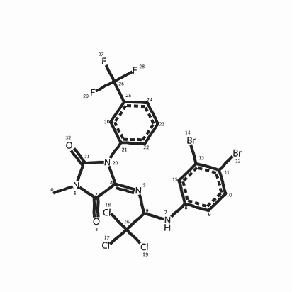 CN1C(=O)C(=NC(Nc2ccc(Br)c(Br)c2)C(Cl)(Cl)Cl)N(c2cccc(C(F)(F)F)c2)C1=O